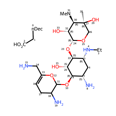 CCCCCCCCCCCC(=O)O.CCN[C@@H]1C[C@H](N)[C@@H](OC2OC(CN)=CCC2N)[C@H](O)[C@H]1O[C@H]1OC[C@](C)(O)[C@H](NC)[C@H]1O